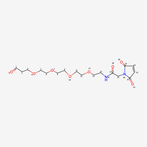 O=CCCOCCOCCOCCOCCNC(=O)CN1C(=O)C=CC1=O